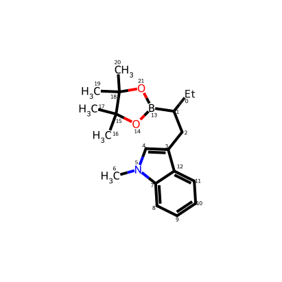 CCC(Cc1cn(C)c2ccccc12)B1OC(C)(C)C(C)(C)O1